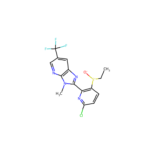 CC[S+]([O-])c1ccc(Cl)nc1-c1nc2cc(C(F)(F)F)cnc2n1C